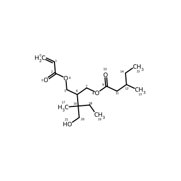 C=CC(=O)OCC(COC(=O)CC(C)CC)C(C)(CC)CO